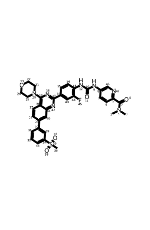 CN(C)C(=O)c1ccc(NC(=O)Nc2ccc(-c3nc(N4CCOCC4)c4ccc(-c5cccc(S(C)(=O)=O)c5)cc4n3)cc2F)cn1